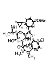 COc1cccc(-c2nnc(NS(=O)(=O)[C@@H](C)[C@H](C)c3ncc(Cl)cn3)n2[C@H](/C(=C/O)C(C)=N)C2CC2)n1